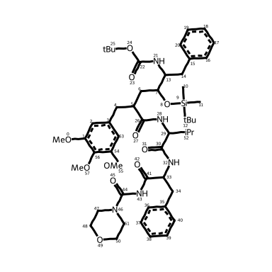 COc1cc(CC(CC(O[Si](C)(C)C(C)(C)C)C(Cc2ccccc2)NC(=O)OC(C)(C)C)C(=O)NC(C(=O)NC(Cc2ccccc2)C(=O)NC(=O)N2CCOCC2)C(C)C)cc(OC)c1OC